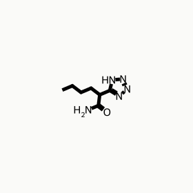 CCCCC(C(N)=O)c1nnn[nH]1